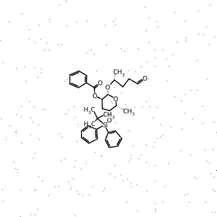 C[C@H](CCC=O)O[C@@H]1O[C@H](C)[C@H](O[Si](c2ccccc2)(c2ccccc2)C(C)(C)C)C[C@H]1OC(=O)c1ccccc1